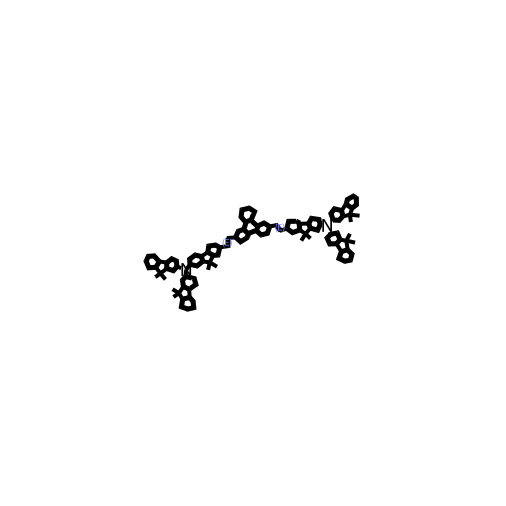 CC1(C)c2ccccc2-c2ccc(N(c3ccc4c(c3)C(C)(C)c3ccccc3-4)c3ccc4c(c3)C(C)(C)c3cc(/C=C/c5ccc6c7ccc(/C=C/c8ccc9c(c8)C(C)(C)c8cc(N(c%10ccc%11c(c%10)C(C)(C)c%10ccccc%10-%11)c%10ccc%11c(c%10)C(C)(C)c%10ccccc%10-%11)ccc8-9)cc7c7ccccc7c6c5)ccc3-4)cc21